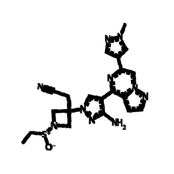 CC[S+]([O-])N1CC(CC#N)(n2cc(-c3nc(-c4cnn(C)c4)cn4nccc34)c(N)n2)C1